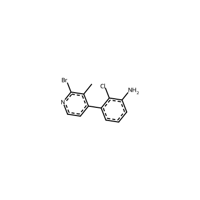 Cc1c(-c2cccc(N)c2Cl)ccnc1Br